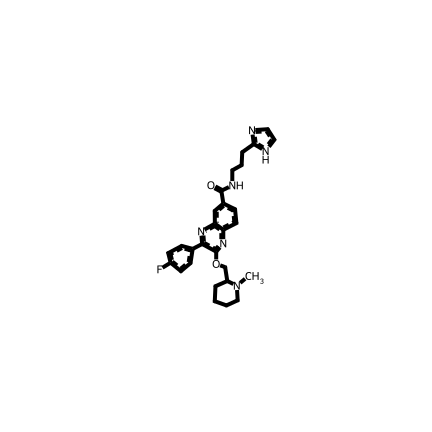 CN1CCCCC1COc1nc2ccc(C(=O)NCCCc3ncc[nH]3)cc2nc1-c1ccc(F)cc1